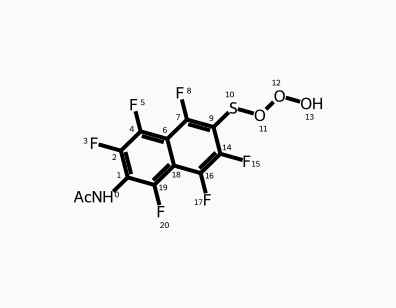 CC(=O)Nc1c(F)c(F)c2c(F)c(SOOO)c(F)c(F)c2c1F